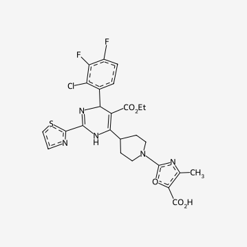 CCOC(=O)C1=C(C2CCN(c3nc(C)c(C(=O)O)o3)CC2)NC(c2nccs2)=NC1c1ccc(F)c(F)c1Cl